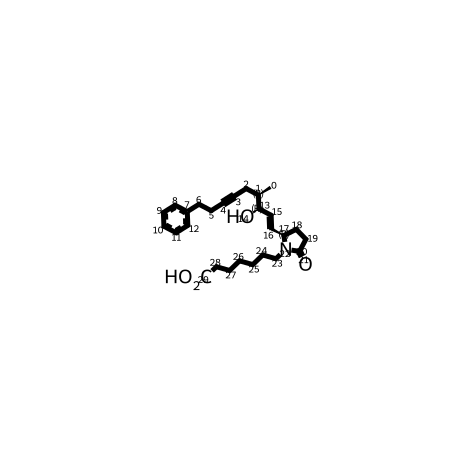 C[C@H](CC#CCCc1ccccc1)[C@@H](O)C=C[C@H]1CCC(=O)N1CCCCCCC(=O)O